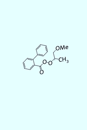 COC[C](C)OOC(=O)c1ccccc1-c1ccccc1